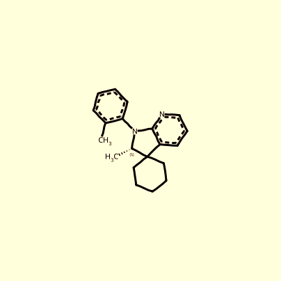 Cc1ccccc1N1c2ncccc2C2(CCCCC2)[C@@H]1C